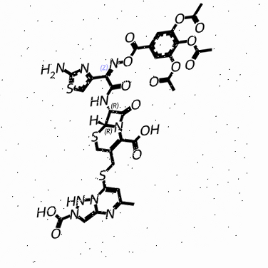 CC(=O)Oc1cc(C(=O)O/N=C(\C(=O)N[C@@H]2C(=O)N3C(C(=O)O)=C(CSC4=CC(C)=NC5=CN(C(=O)O)NN54)CS[C@H]23)c2csc(N)n2)cc(OC(C)=O)c1OC(C)=O